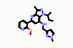 CCC(C)n1nc(C)c2nc(-c3cccnc3OC)cc(NCc3ccn(C)n3)c21